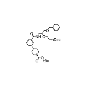 CCCCCCCCCCCCOC(CNC(=O)c1cccc(C2CCN(C(=O)OC(C)(C)C)CC2)c1)COCc1ccccc1